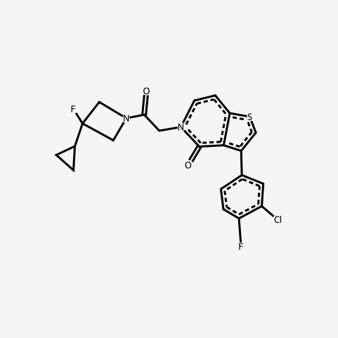 O=C(Cn1ccc2scc(-c3ccc(F)c(Cl)c3)c2c1=O)N1CC(F)(C2CC2)C1